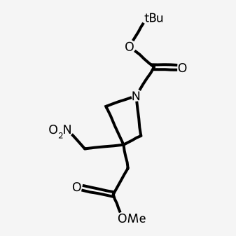 COC(=O)CC1(C[N+](=O)[O-])CN(C(=O)OC(C)(C)C)C1